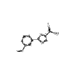 COc1cccc(-c2nc(C(=O)O)cs2)c1